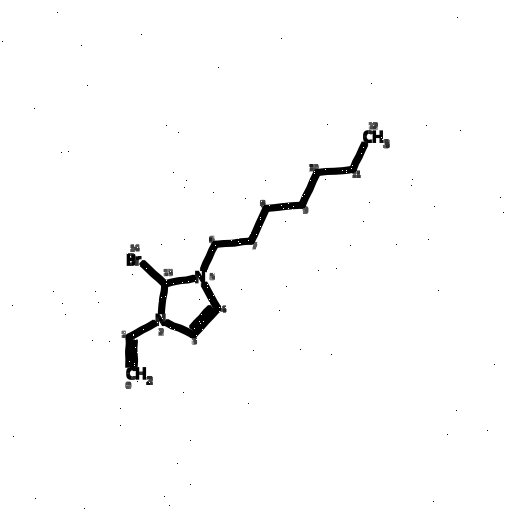 C=CN1C=CN(CCCCCCC)C1Br